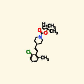 Cc1cccc(Cl)c1C=CC1CCN(C(=O)OC(C)(C)C)CC1